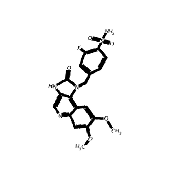 COc1cc2ncc3[nH]c(=O)n(Cc4ccc(S(N)(=O)=O)c(F)c4)c3c2cc1OC